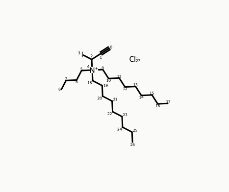 C#CC(I)[N+](CCCC)(CCCCCCCCC)CCCCCCCCC.[Cl-]